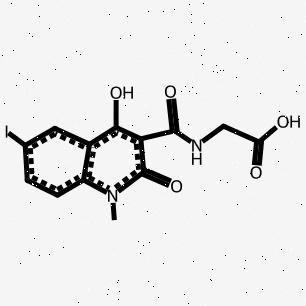 Cn1c(=O)c(C(=O)NCC(=O)O)c(O)c2cc(I)ccc21